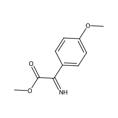 COC(=O)C(=N)c1ccc(OC)cc1